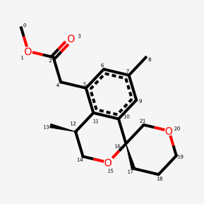 COC(=O)Cc1cc(C)cc2c1[C@H](C)CO[C@]21CCCOC1